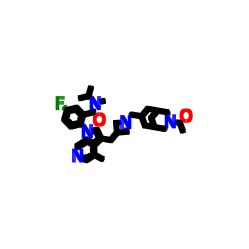 CC(=O)N1CC2CC(CN3CC(Cc4cn(-c5ccc(F)cc5C(=O)N(C)C(C)C)c5cncc(C)c45)C3)CC(C2)C1